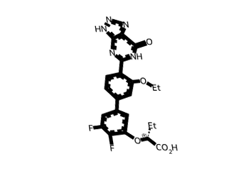 CCOc1cc(-c2cc(F)c(F)c(O[C@H](CC)C(=O)O)c2)ccc1-c1nc2[nH]nnc2c(=O)[nH]1